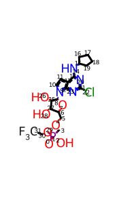 O=P(O)(COCC1O[C@@H](n2ccc3c(NC4CCCC4)nc(Cl)nc32)[C@H](O)[C@@H]1O)OCC(F)(F)F